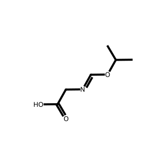 CC(C)OC=NCC(=O)O